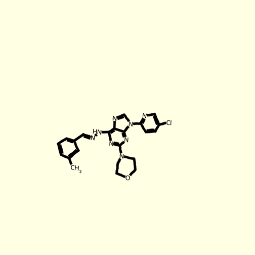 Cc1cccc(/C=N/Nc2nc(N3CCOCC3)nc3c2ncn3-c2ccc(Cl)cn2)c1